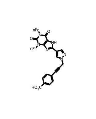 CCCn1c(=O)c2[nH]c(-c3cnn(CC#Cc4ccc(C(=O)O)cc4)c3)nc2n(CCC)c1=O